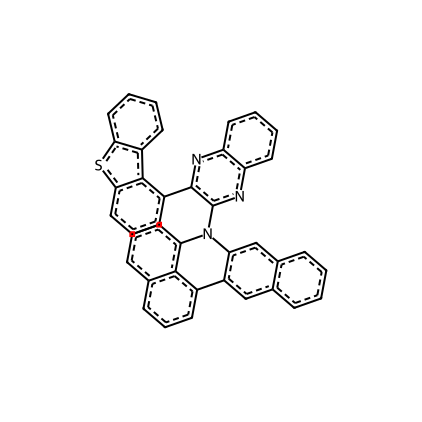 c1ccc2cc3c(cc2c1)-c1cccc2cccc(c12)N3c1nc2ccccc2nc1-c1cccc2sc3ccccc3c12